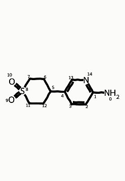 Nc1ccc(C2CCS(=O)(=O)CC2)cn1